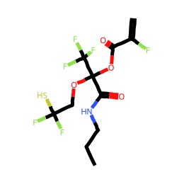 C=C(F)C(=O)OC(OCC(F)(F)S)(C(=O)NCCC)C(F)(F)F